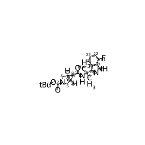 CC(C)(C)OC(=O)N1C[C@@H]2[C@H](C1)[C@H]2C(=O)NC(C)(C)c1n[nH]c2c(F)cccc12